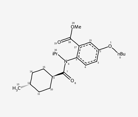 CCCCOc1ccc(N(C(=O)[C@H]2CC[C@H](C)CC2)C(C)C)c(C(=O)OC)c1